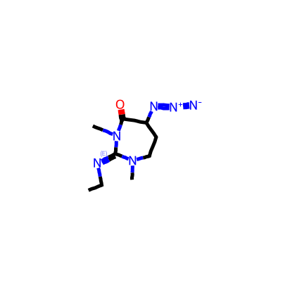 CC/N=C1\N(C)CCC(N=[N+]=[N-])C(=O)N1C